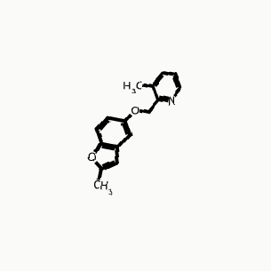 Cc1cc2cc(OCc3ncccc3C)ccc2o1